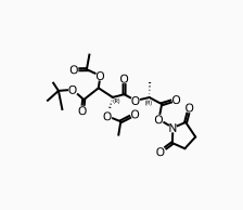 CC(=O)OC(C(=O)OC(C)(C)C)[C@@H](OC(C)=O)C(=O)O[C@H](C)C(=O)ON1C(=O)CCC1=O